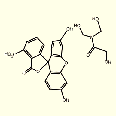 O=C(CO)N(CO)CO.O=C(O)c1cccc2c1C(=O)OC21c2ccc(O)cc2Oc2cc(O)ccc21